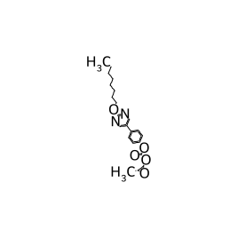 CCCCCCCCOc1ncc(-c2ccc(OC(=O)O[C@H]3O[C@@H]3C)cc2)cn1